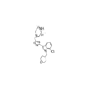 C[C@@H]1CN(Cc2nc(-c3cn(CC4CCOCC4)c4c(Cl)cccc34)no2)C[C@H](C)N1